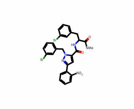 CNC(=O)C(Cc1cccc(Br)c1)NC(=O)c1cc(-c2ccccc2[N+](=O)[O-])nn1Cc1cccc(Br)c1